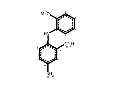 COc1ccccc1Nc1ccc(N)cc1S(=O)(=O)O